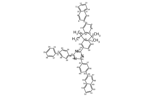 CC1(C)c2ccc(-c3ccc4ccccc4c3)cc2C(C)(C)c2cc(-c3nc(-c4ccc(-c5ccccc5)cc4)nc(-c4ccc(-c5ccc6ccccc6c5)cc4)n3)ccc21